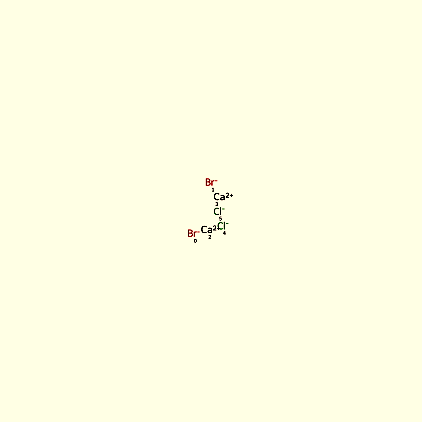 [Br-].[Br-].[Ca+2].[Ca+2].[Cl-].[Cl-]